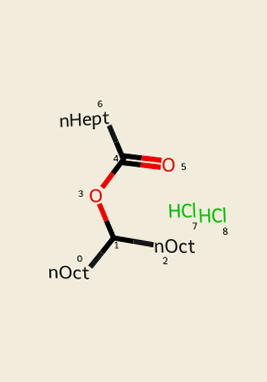 CCCCCCCCC(CCCCCCCC)OC(=O)CCCCCCC.Cl.Cl